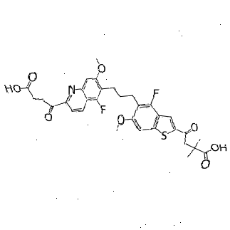 COc1cc2nc(C(=O)CCC(=O)O)ccc2c(F)c1CCCc1c(OC)cc2sc(C(=O)CC(C)(C)C(=O)O)cc2c1F